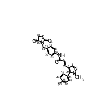 Cn1ncc(C=CC(=O)Nc2ccc(CN3C(=O)CSC3=O)cc2)c1-c1ccc(F)cc1